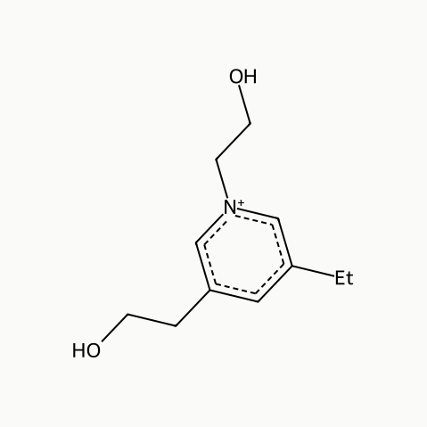 CCc1cc(CCO)c[n+](CCO)c1